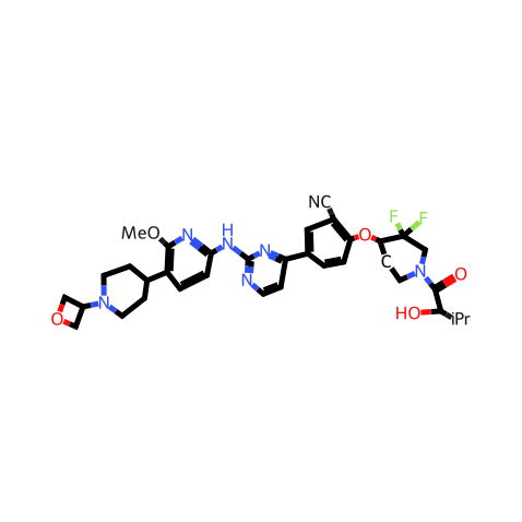 COc1nc(Nc2nccc(-c3ccc(OC4CCN(C(=O)C(O)C(C)C)CC4(F)F)c(C#N)c3)n2)ccc1C1CCN(C2COC2)CC1